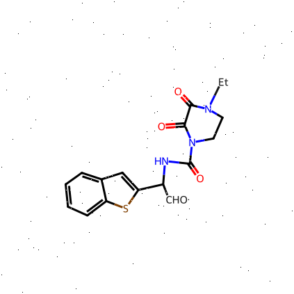 CCN1CCN(C(=O)NC([C]=O)c2cc3ccccc3s2)C(=O)C1=O